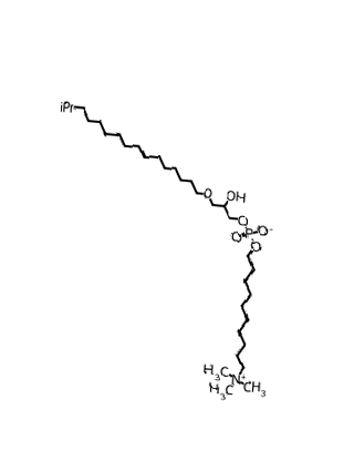 CC(C)CCCCCCCCCCCCCCOCC(O)COP(=O)([O-])OCCCCCCCCCC[N+](C)(C)C